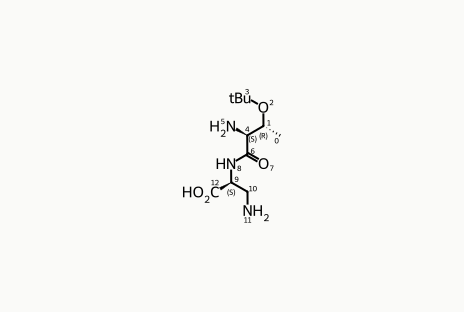 C[C@@H](OC(C)(C)C)[C@H](N)C(=O)N[C@@H](CN)C(=O)O